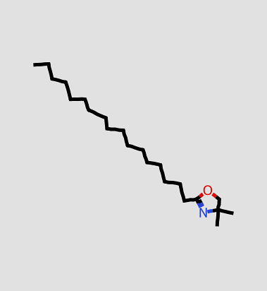 CCCCCCCCCCCCCCCCCC1=NC(C)(C)CO1